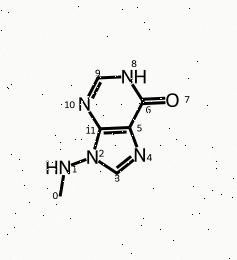 CNn1cnc2c(=O)[nH]cnc21